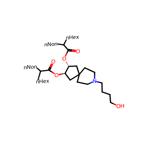 CCCCCCCCCC(CCCCCC)C(=O)O[C@@H]1CC2(CCN(CCCCO)CC2)C[C@H]1OC(=O)C(CCCCCC)CCCCCCCCC